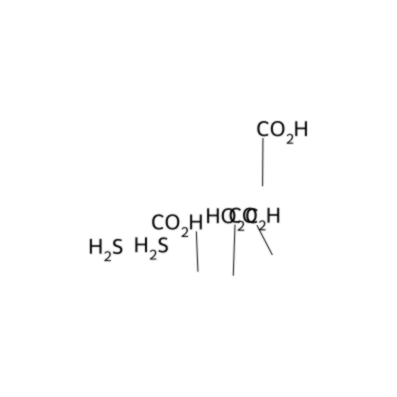 CC(=O)O.CC(=O)O.CC(=O)O.CC(=O)O.S.S